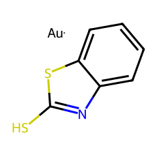 Sc1nc2ccccc2s1.[Au]